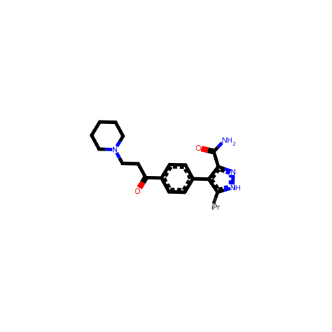 CC(C)c1[nH]nc(C(N)=O)c1-c1ccc(C(=O)CCN2CCCCC2)cc1